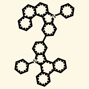 c1ccc(-n2c3ccc(-c4ccc5c(c4)c4c6ccccc6c6ccccc6c4n5-c4ccccc4)cc3c3c4c(ccc5ccccc54)ccc32)cc1